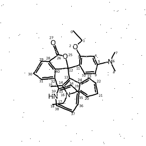 CCOc1cc(N(C)C)ccc1C1(c2c(C)n(CC)c3ccccc23)OC(=O)c2cccc(C3=CC=CC=CN3)c21